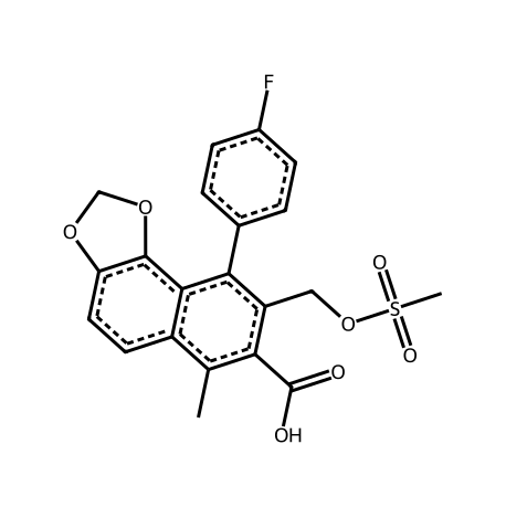 Cc1c(C(=O)O)c(COS(C)(=O)=O)c(-c2ccc(F)cc2)c2c3c(ccc12)OCO3